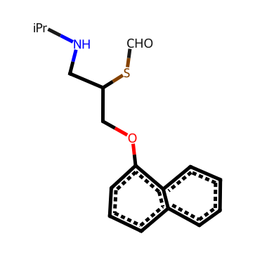 CC(C)NCC(COc1cccc2ccccc12)SC=O